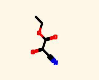 CCOC(=O)C(=O)C#N